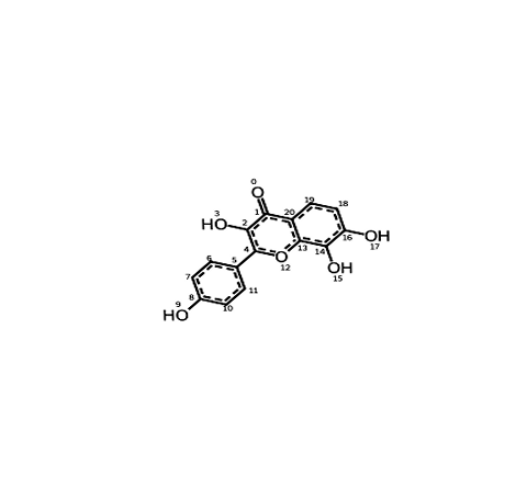 O=c1c(O)c(-c2ccc(O)cc2)oc2c(O)c(O)ccc12